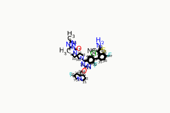 Cc1nc(C)n(C(=O)N2CCC23CCN(c2nc(OC[C@@]45CCCN4C[C@H](F)C5)nc4c(F)c(-c5ccc(F)c6sc(N)c(C#N)c56)c(Cl)cc24)C3)n1